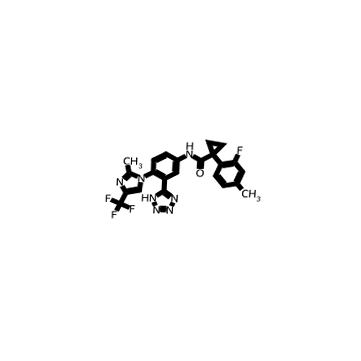 Cc1ccc(C2(C(=O)Nc3ccc(-n4cc(C(F)(F)F)nc4C)c(-c4nnn[nH]4)c3)CC2)c(F)c1